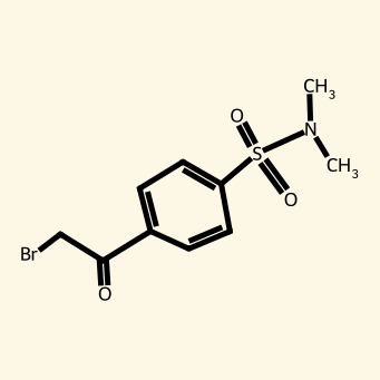 CN(C)S(=O)(=O)c1ccc(C(=O)CBr)cc1